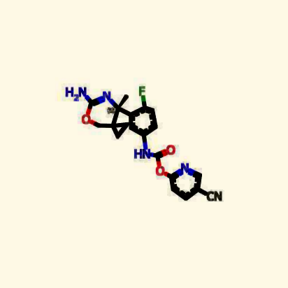 C[C@]1(c2cc(NC(=O)Oc3ccc(C#N)cn3)ccc2F)N=C(N)OCC12CC2